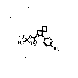 CC(C)(C)OC(=O)N1CC2(CCC2)C1c1ccc(N)nc1